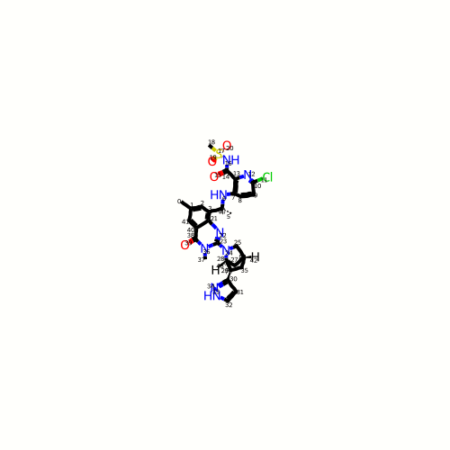 Cc1cc([C@@H](C)Nc2ccc(Cl)nc2C(=O)NS(C)(=O)=O)c2nc(N3C[C@H]4C[C@@H]3[C@H](c3cc[nH]n3)C4)n(C)c(=O)c2c1